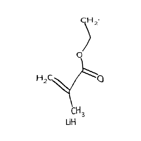 [CH2]COC(=O)C(=C)C.[LiH]